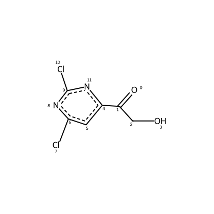 O=C(CO)c1cc(Cl)nc(Cl)n1